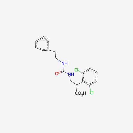 O=C(NCCc1ccccc1)NCC(C(=O)O)c1c(Cl)cccc1Cl